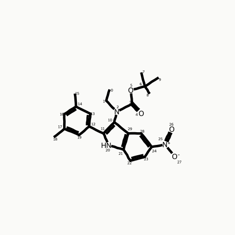 CCN(C(=O)OC(C)(C)C)c1c(-c2cc(C)cc(C)c2)[nH]c2ccc([N+](=O)[O-])cc12